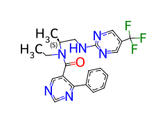 CCN(C(=O)c1cncnc1-c1ccccc1)[C@@H](C)CNc1ncc(C(F)(F)F)cn1